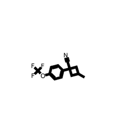 CC1CC(C#N)(c2ccc(OC(F)(F)F)cc2)C1